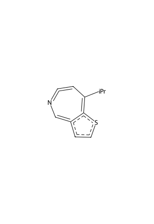 CC(C)C1=c2sccc2=CN=C=C1